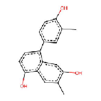 Cc1cc(-c2ccc(O)c3cc(C)c(O)cc23)ccc1O